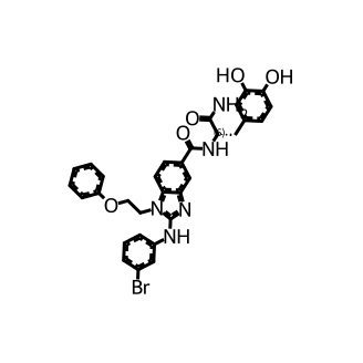 NC(=O)[C@H](Cc1ccc(O)c(O)c1)NC(=O)c1ccc2c(c1)nc(Nc1cccc(Br)c1)n2CCOc1ccccc1